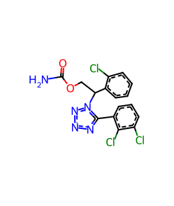 NC(=O)OCC(c1ccccc1Cl)n1nnnc1-c1cccc(Cl)c1Cl